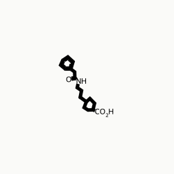 O=C(Cc1ccccc1)NCCCC1CCC(C(=O)O)CC1